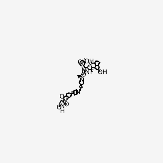 CCc1cccc2cc(O)cc(-c3ncc4c(N5CCOC[C@@](C)(O)C5)nc(OCC5(CN6CCC7(CC6)CC(CN6CCN(c8ccc9c(c8)CN([C@H]8CCC(=O)NC8=O)C9=O)CC6)C7)CC5)nc4c3F)c12